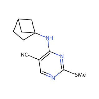 CSc1ncc(C#N)c(NC23CCC(C2)C3)n1